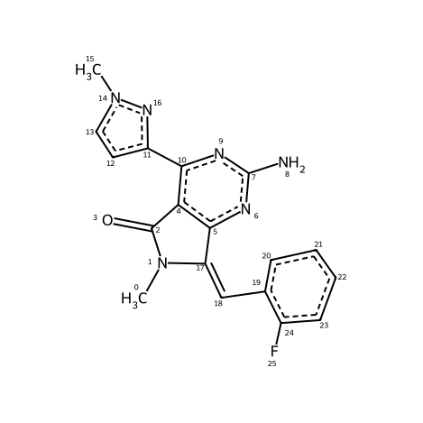 CN1C(=O)c2c(nc(N)nc2-c2ccn(C)n2)/C1=C\c1ccccc1F